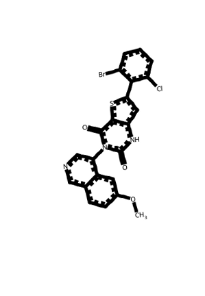 COc1ccc2cncc(-n3c(=O)[nH]c4cc(-c5c(Cl)cccc5Br)sc4c3=O)c2c1